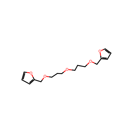 c1coc(COCCCOCCCOCc2ccco2)c1